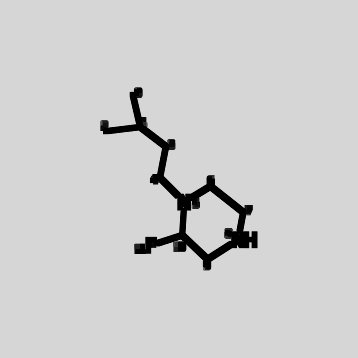 CC(C)CCN1CCNCC1F